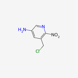 Nc1cnc([N+](=O)[O-])c(CCl)c1